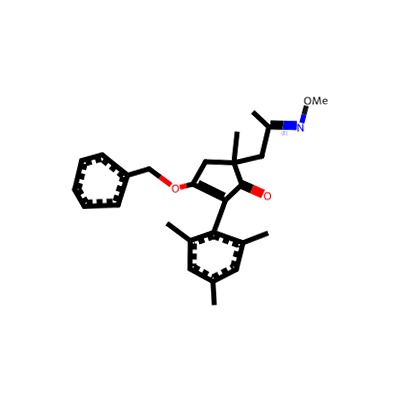 CO/N=C(\C)CC1(C)CC(OCc2ccccc2)=C(c2c(C)cc(C)cc2C)C1=O